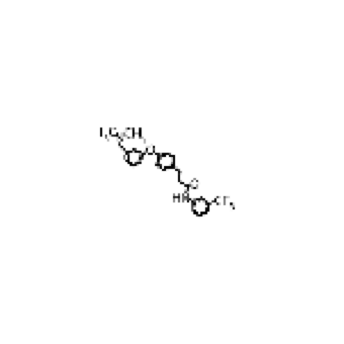 CN(C)Cc1cc(Oc2ccc(CCC(=O)Nc3cccc(C(F)(F)F)c3)cc2)ccn1